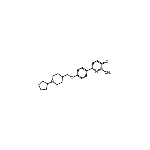 Cn1nc(-c2ccc(OCC3CCN(C4CCCC4)CC3)cc2)ccc1=O